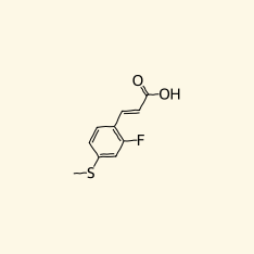 CSc1ccc(/C=C/C(=O)O)c(F)c1